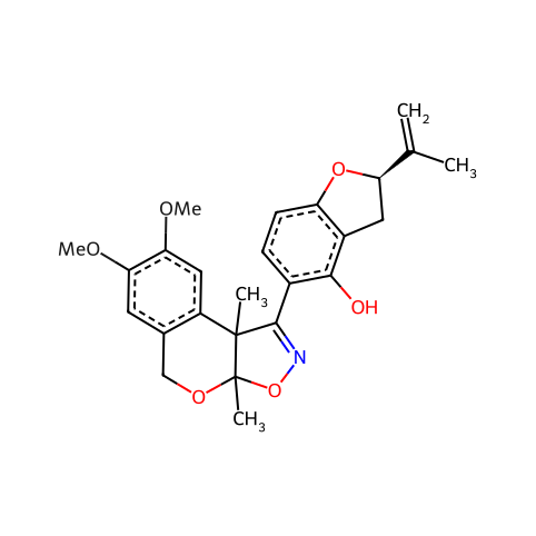 C=C(C)[C@H]1Cc2c(ccc(C3=NOC4(C)OCc5cc(OC)c(OC)cc5C34C)c2O)O1